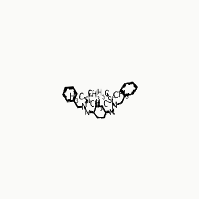 C[Si](C)(C)N(Cc1ccccc1)N=C1CCC(=NN(Cc2ccccc2)[Si](C)(C)C)CC1